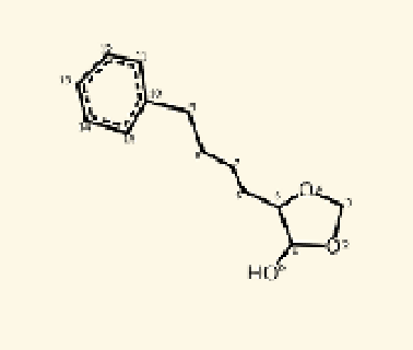 OC1OCOC1CCCCc1ccccc1